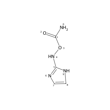 NC(=O)ONc1ncc[nH]1